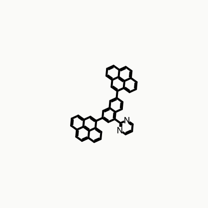 c1cnc(-c2cc(-c3cc4cccc5ccc6cccc3c6c54)cc3cc(-c4cc5cccc6ccc7cccc4c7c65)ccc23)nc1